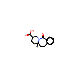 O=C(O)C1CC[C@H]2CCc3ccccc3C(=O)N2C1